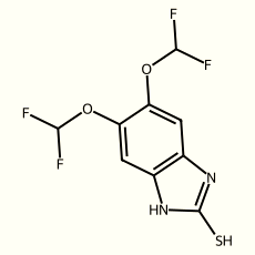 FC(F)Oc1cc2nc(S)[nH]c2cc1OC(F)F